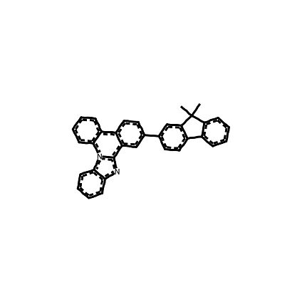 CC1(C)c2ccccc2-c2ccc(-c3ccc4c5ccccc5n5c6ccccc6nc5c4c3)cc21